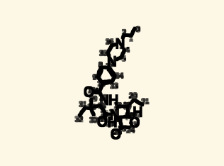 CCCN1CCN(c2ccc(C(=O)NC(C(=O)N3C[C@@H](CC)[C@H]4OCC(=O)[C@H]43)C(C)(C)CC)cc2)CC1